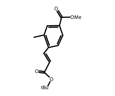 COC(=O)c1ccc(/C=C/C(=O)OC(C)(C)C)c(C)c1